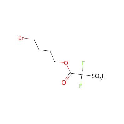 O=C(OCCCCBr)C(F)(F)S(=O)(=O)O